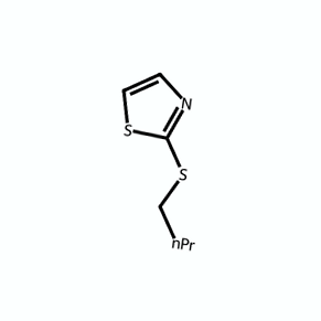 [CH2]CCCSc1nccs1